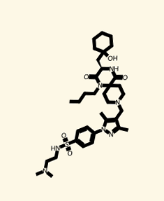 CCCCN1C(=O)[C@@H](CC2(O)CCCCC2)NC(=O)C12CCN(Cc1c(C)nn(-c3ccc(S(=O)(=O)NCCN(C)C)cc3)c1C)CC2